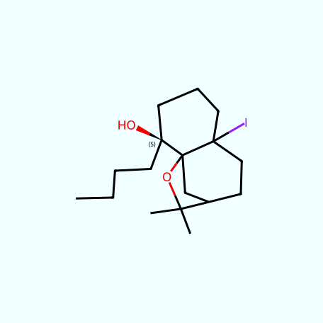 CCCC[C@]1(O)CCCC2(I)CCC3CC21OC3(C)C